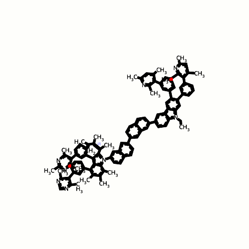 C=C(C)/C(C)=C(/C)c1c(-c2cccc(-c3c(C)nc(C)nc3C)c2)c2c(-c3cccc(-c4c(C)ncnc4C)c3)c(C)c(C)c(C)c2n1-c1ccc2ccc(-c3ccc4ccc(-c5ccc6c(c5)c5cc(-c7cccc(-c8c(C)cc(C)nc8C)c7)c(-c7cccc(-c8c(C)cc(C)nc8C)c7)cc5n6CC)cc4c3)cc2c1